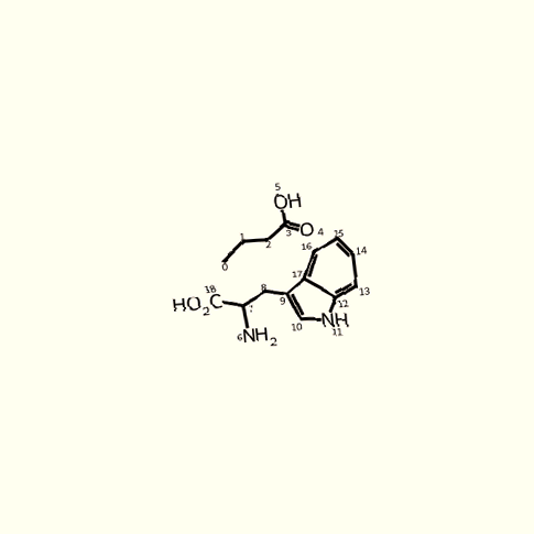 CCCC(=O)O.NC(Cc1c[nH]c2ccccc12)C(=O)O